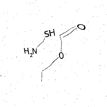 CCOC=O.NS